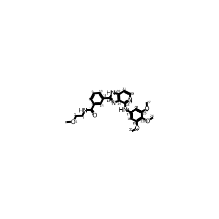 COCCNC(=O)c1cccc(-c2nc3c(Nc4cc(OC)c(OC)c(OC)c4)nccc3[nH]2)c1